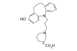 Cl.O=C(O)[C@@H]1CCCN(CCCN2c3ccccc3CCCc3ccccc32)C1